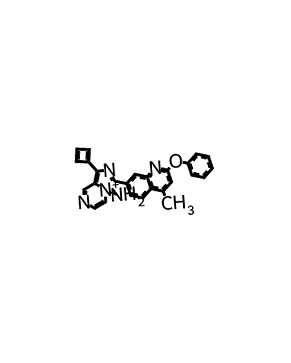 Cc1cc(Oc2ccccc2)nc2cc(C3=NC(C4=CC=C4)=C4C=NC=C[N+]34N)ccc12